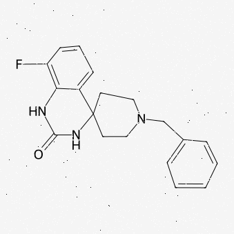 O=C1Nc2c(F)cccc2C2(CCN(Cc3ccccc3)CC2)N1